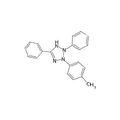 Cc1ccc(N2N=C(c3ccccc3)NN2c2ccccc2)cc1